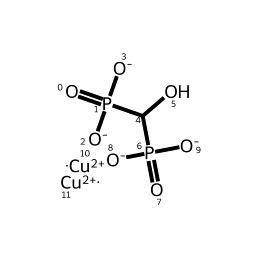 O=P([O-])([O-])C(O)P(=O)([O-])[O-].[Cu+2].[Cu+2]